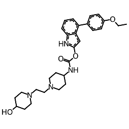 CCOc1ccc(-c2cccc3[nH]c(OC(=O)NC4CCN(CCN5CCC(O)CC5)CC4)cc23)cc1